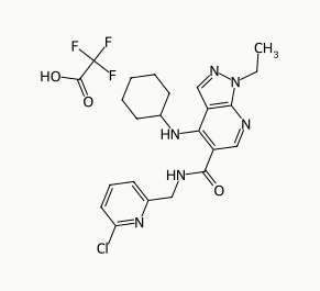 CCn1ncc2c(NC3CCCCC3)c(C(=O)NCc3cccc(Cl)n3)cnc21.O=C(O)C(F)(F)F